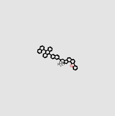 C=C(CC1C(=C)Cc2c1ccc1ccc3c4ccccc4oc3c21)c1ccc2cc(-c3c4ccccc4c(-c4cccc5ccccc45)c4ccccc34)ccc2c1